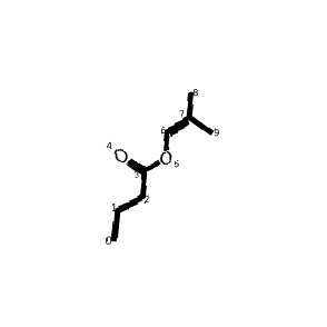 CCCC(=O)OC=C(C)C